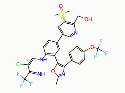 Cc1nc(-c2ccc(OC(F)(F)F)cc2)c(-c2cc(-c3cnc(CO)c([SH](C)(C)=O)c3)ccc2N/C=C(/Cl)C(=N)C(F)(F)F)o1